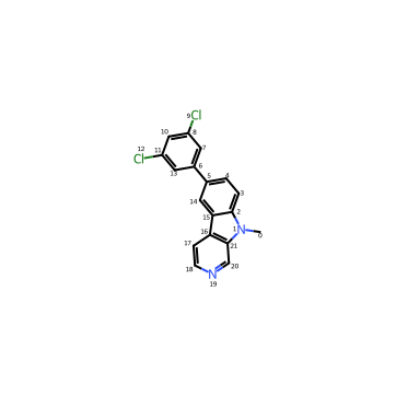 Cn1c2ccc(-c3cc(Cl)cc(Cl)c3)cc2c2ccncc21